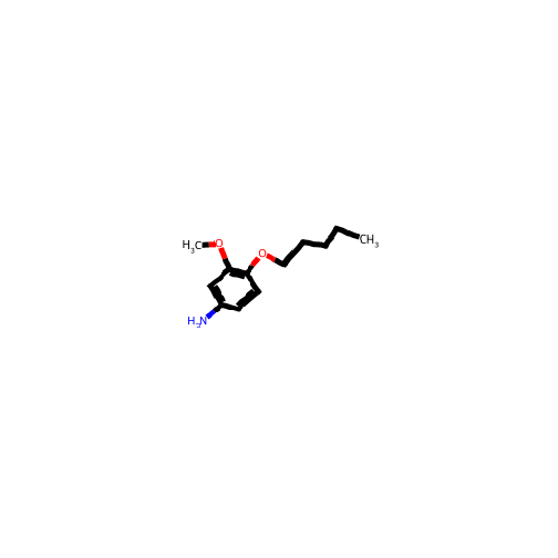 CCCCCOc1ccc(N)cc1OC